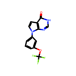 O=c1[nH]cnc2c1ccn2-c1cccc(OC(F)(F)F)c1